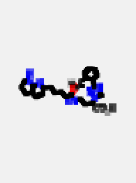 CC1C=CC=CC1c1ncn(C(CCNC(=O)CCCCc2ccc3c(n2)NCCC3)C(=O)O)n1